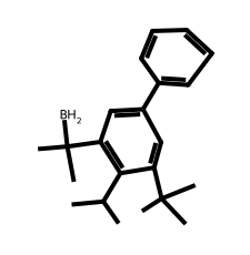 BC(C)(C)c1cc(-c2ccccc2)cc(C(C)(C)C)c1C(C)C